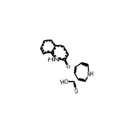 C1=CC=CNC=C1.O=CO.O=c1ccc2ccccc2[nH]1